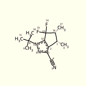 C[C@@H]1c2c(C#N)nn(C(C)(C)C)c2C(F)(F)[C@@H]1C